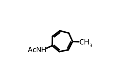 CC(=O)NC1=CC=C(C)CC=C1